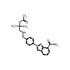 CC(C)(CNCc1ccc(-n2cc3cccc(C(N)=O)c3n2)cc1)OC(=O)C(F)(F)F